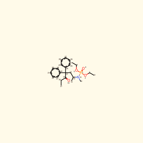 CCOP(=O)(OCC)N(C)C(C)CC(C(=O)CC)(c1ccccc1)c1ccccc1